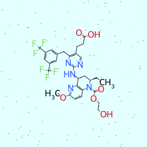 CC[C@@H]1C[C@H](Nc2ncc(CCC(=O)O)c(Cc3cc(C(F)(F)F)cc(C(F)(F)F)c3)n2)c2nc(OC)ccc2N1C(=O)OCCO